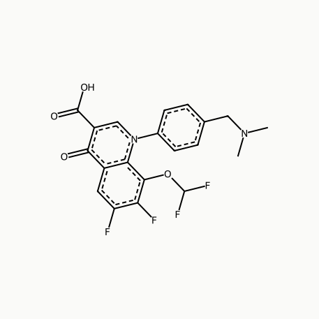 CN(C)Cc1ccc(-n2cc(C(=O)O)c(=O)c3cc(F)c(F)c(OC(F)F)c32)cc1